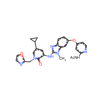 CC(=O)Nc1cc(Oc2ccc3nc(Nc4cc(C5CC5)cn(Cc5ncco5)c4=O)n(C)c3c2)ccn1